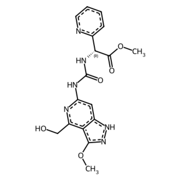 COC(=O)[C@H](NC(=O)Nc1cc2[nH]nc(OC)c2c(CO)n1)c1ccccn1